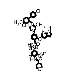 C[C@@H]1CN(c2ccc(C(=O)NS(=O)(=O)c3cc(F)c(NCC4CCOCC4)c([N+](=O)[O-])c3)c(Oc3cnc4[nH]ccc4c3)c2)CCN1CC1=C(c2ccc(Cl)cc2)CCC(C)(C)C1